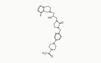 CC(=O)N1CCN(c2ccc(CN3CCN(CC(O)CN4CCc5cccc(F)c5C4)C3=O)nc2)CC1